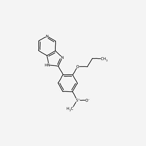 CCCOc1cc([S+](C)[O-])ccc1-c1nc2cnccc2[nH]1